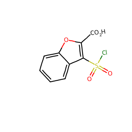 O=C(O)c1oc2ccccc2c1S(=O)(=O)Cl